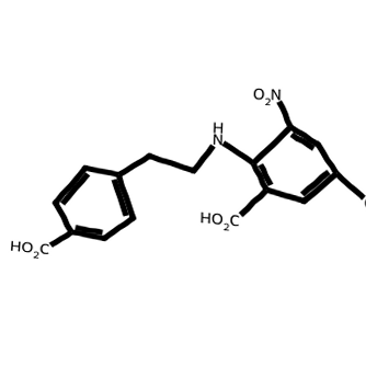 O=C(O)c1ccc(CCNc2c(C(=O)O)cc(Cl)cc2[N+](=O)[O-])cc1